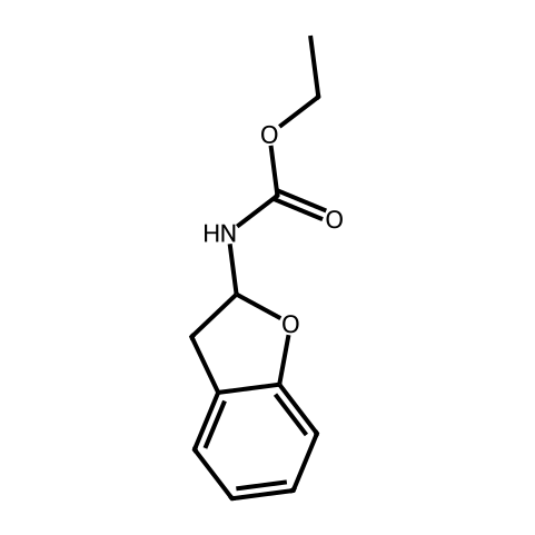 CCOC(=O)NC1Cc2ccccc2O1